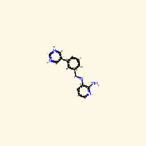 Nc1ncccc1NCc1cccc(-c2cncnc2)c1